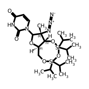 CC(C)[Si]1(C(C)C)OC[C@H]2OC(n3ccc(=O)[nH]c3=O)[C@](C)(N=[N+]=[N-])[C@@H]2O[Si](C(C)C)(C(C)C)O1